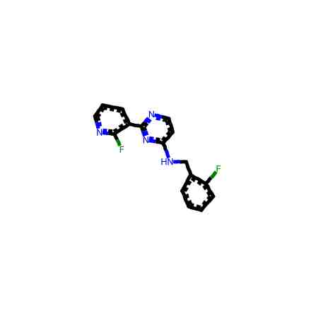 Fc1ccccc1CNc1ccnc(-c2cccnc2F)n1